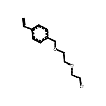 C=Cc1ccc(COCCOCCCl)cc1